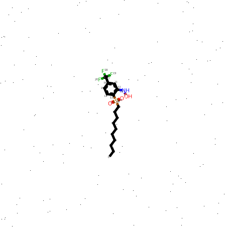 CCCCCCCCCCS(=O)(=O)c1ccc(C(F)(F)F)cc1NO